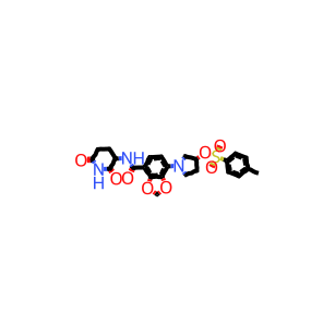 Cc1ccc(S(=O)(=O)OC2CCN(c3ccc(C(=O)NC4CCC(=O)NC4=O)c4c3OCO4)C2)cc1